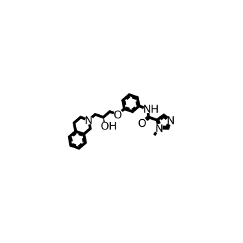 Cn1cncc1C(=O)Nc1cccc(OC[C@H](O)CN2CCc3ccccc3C2)c1